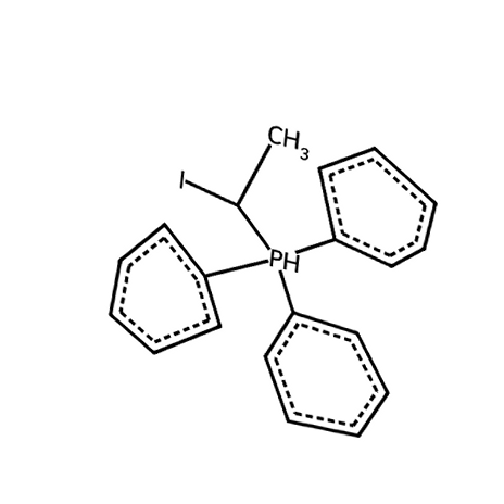 CC(I)[PH](c1ccccc1)(c1ccccc1)c1ccccc1